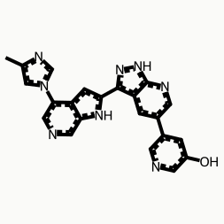 Cc1cn(-c2cncc3[nH]c(-c4n[nH]c5ncc(-c6cncc(O)c6)cc45)cc23)cn1